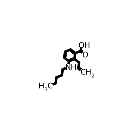 C=CCc1c(NCCCCC)cccc1C(=O)O